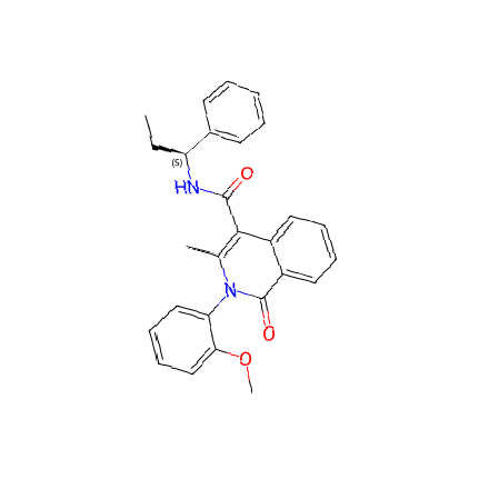 CC[C@H](NC(=O)c1c(C)n(-c2ccccc2OC)c(=O)c2ccccc12)c1ccccc1